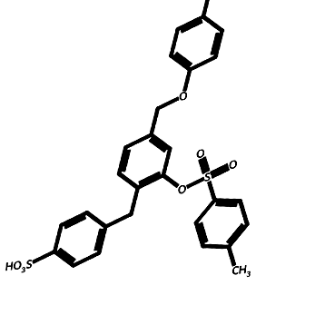 COc1ccc(OCc2ccc(Cc3ccc(S(=O)(=O)O)cc3)c(OS(=O)(=O)c3ccc(C)cc3)c2)cc1